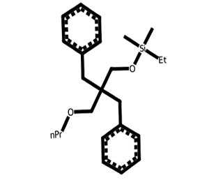 CCCOCC(CO[Si](C)(C)CC)(Cc1ccccc1)Cc1ccccc1